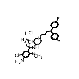 COc1cc(N)c(Cl)cc1C(=O)N[C@@H]1CCN(CCCC(c2ccc(F)cc2)c2ccc(F)cc2)C[C@H]1OC.Cl